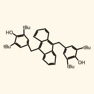 CC(C)(C)c1cc(Cc2c3ccccc3c(Cc3cc(C(C)(C)C)c(O)c(C(C)(C)C)c3)c3ccccc23)cc(C(C)(C)C)c1O